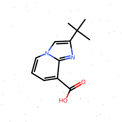 CC(C)(C)c1cn2cccc(C(=O)O)c2n1